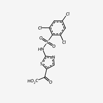 O=C(O)C(=O)c1cnc(NS(=O)(=O)c2c(Cl)cc(Cl)cc2Cl)s1